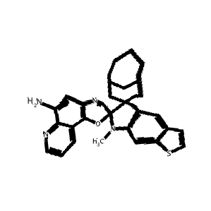 CN1c2cc3sccc3cc2C2(CC3CCCC(C3)C2)C12C=Nc1cc(N)c3ncccc3c1O2